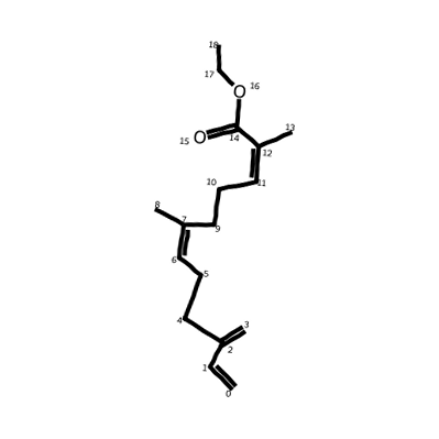 C=CC(=C)CCC=C(C)CCC=C(C)C(=O)OCC